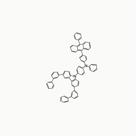 c1ccc(-c2cccc(-c3ccc4c(c3)c3cc(-c5cccc(-c6ccccc6)c5)ccc3n4-c3ccc(N(c4ccccc4)c4ccc(-c5c6ccccc6c(-c6ccccc6)c6ccccc56)cc4)cc3)c2)cc1